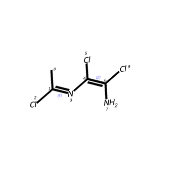 C/C(Cl)=N\C(Cl)=C(/N)Cl